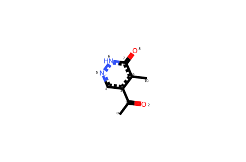 CC(=O)c1cn[nH]c(=O)c1C